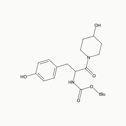 CC(C)(C)OC(=O)NC(Cc1ccc(O)cc1)C(=O)N1CCC(O)CC1